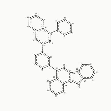 c1ccc(-c2nc(-c3cccc(-c4nc5c(nc6ccccn65)c5ccccc45)c3)nc3ccccc23)cc1